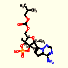 CC(C)COC(=O)OC[C@H]1O[C@@](C)(c2ccc3c(N)ncnn23)[C@@H]2OP(=O)(O)O[C@@H]21